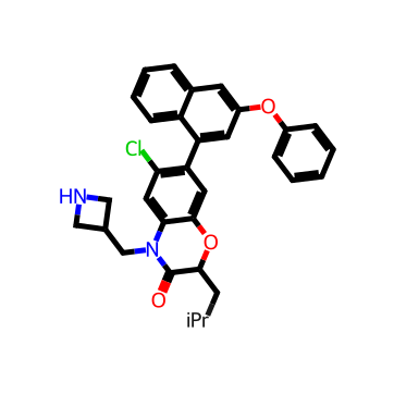 CC(C)CC1Oc2cc(-c3cc(Oc4ccccc4)cc4ccccc34)c(Cl)cc2N(CC2CNC2)C1=O